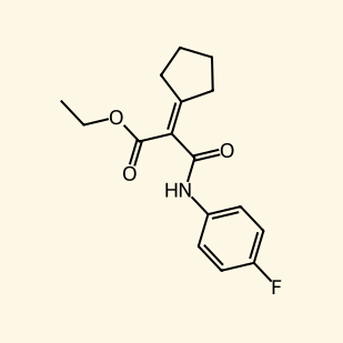 CCOC(=O)C(C(=O)Nc1ccc(F)cc1)=C1CCCC1